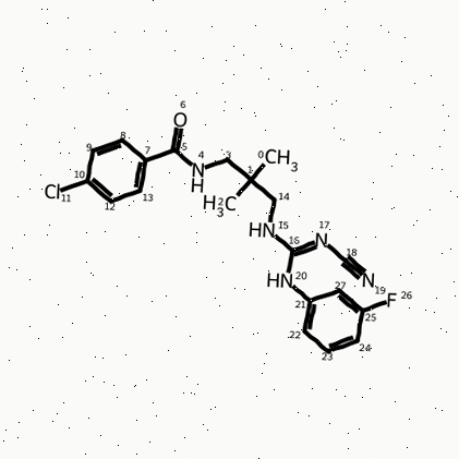 CC(C)(CNC(=O)c1ccc(Cl)cc1)CNC(=NC#N)Nc1cccc(F)c1